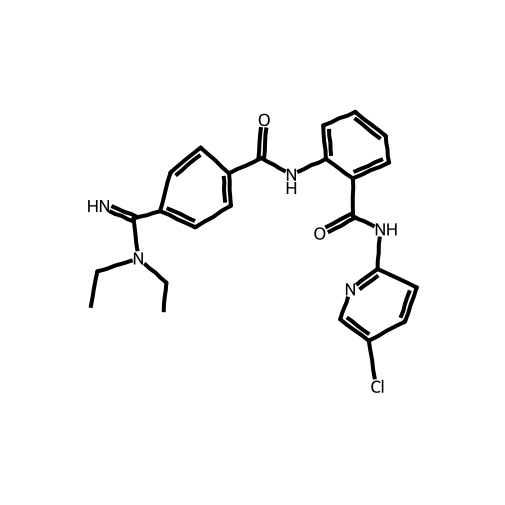 CCN(CC)C(=N)c1ccc(C(=O)Nc2ccccc2C(=O)Nc2ccc(Cl)cn2)cc1